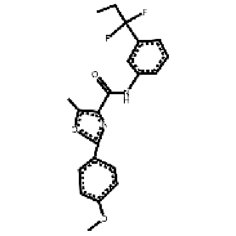 CCC(F)(F)c1cccc(NC(=O)c2nc(-c3ccc(OC)cc3)oc2C)c1